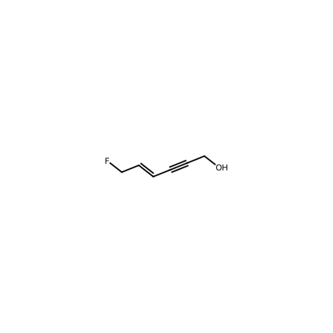 OCC#C/C=C/CF